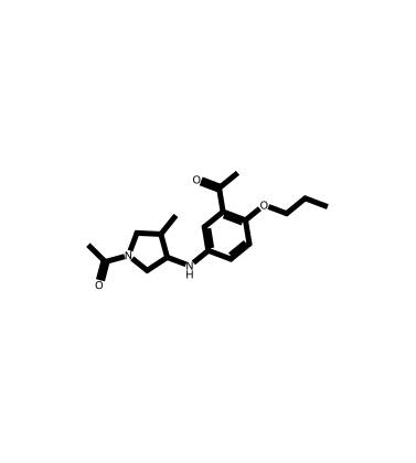 CCCOc1ccc(NC2CN(C(C)=O)CC2C)cc1C(C)=O